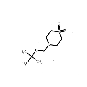 CC(C)(C)OCN1CCS(=O)(=O)CC1